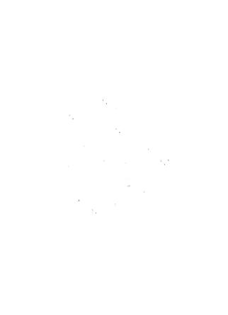 Nc1nc(-c2cccnc2)c(-c2c(F)cncc2F)cc1[N+](=O)[O-]